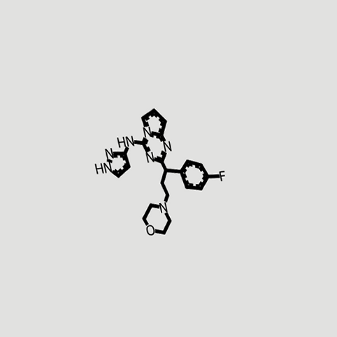 Fc1ccc(C(CCN2CCOCC2)c2nc(Nc3cc[nH]n3)n3cccc3n2)cc1